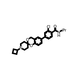 CC(C)NC(=O)c1ccc(-c2ccc3c(c2)COC2(CCN(C4CCC4)CC2)O3)cc1Cl